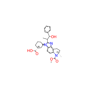 COC(=O)N1c2ccc3c(nc(C(C)C(O)c4ccccc4)n3[C@@H]3CCC[C@@H](C(=O)O)C3)c2CC[C@@H]1C